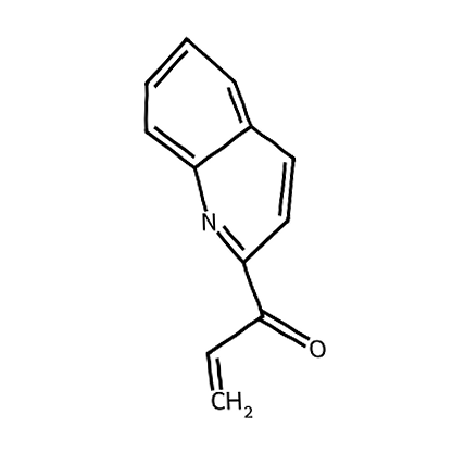 C=CC(=O)c1ccc2ccccc2n1